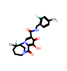 CCC1(F)CCCN2CC1n1cc(C(=O)NCc3ccc(C)cc3F)c(=O)c(O)c1C2=O